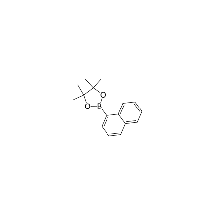 CC1(C)OB(c2cccc3ccccc23)OC1(C)C